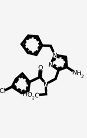 Nc1cn(Cc2ccccc2)nc1CN(CC(=O)O)C(=O)c1ccc(Cl)cc1